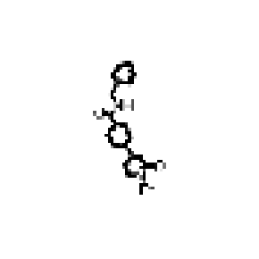 CCn1ccc(-c2ccc(C(=O)NCc3ccccc3)cc2)cc1=O